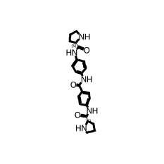 O=C(Nc1ccc(NC(=O)[C@@H]2CCCN2)cc1)c1ccc(NC(=O)[C@@H]2CCCN2)cc1